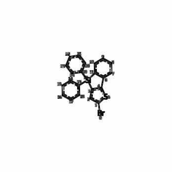 Brc1cc2c(s1)-c1ccccc1[Si]2(c1ccccc1)c1ccccc1